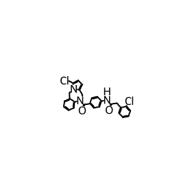 O=C(Cc1ccccc1Cl)Nc1ccc(C(=O)N2Cc3ccc(Cl)n3Cc3ccccc32)cc1